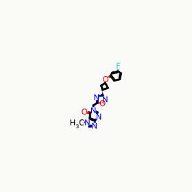 Cn1cnc2ncn(Cc3nc([C@H]4C[C@H](Oc5cccc(F)c5)C4)no3)c(=O)c21